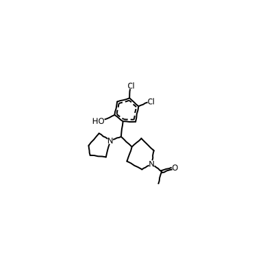 CC(=O)N1CCC(C(c2cc(Cl)c(Cl)cc2O)N2CCCC2)CC1